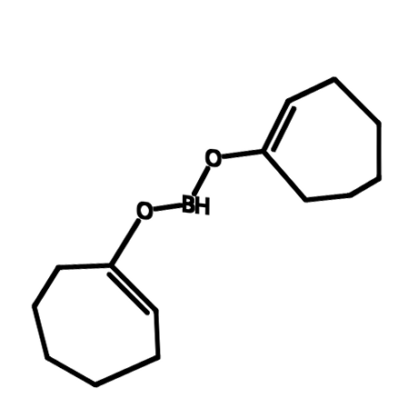 B(OC1=CCCCCC1)OC1=CCCCCC1